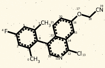 Cc1cc(F)cc(C)c1-c1cnc(Cl)c2cc(OCC#N)ccc12